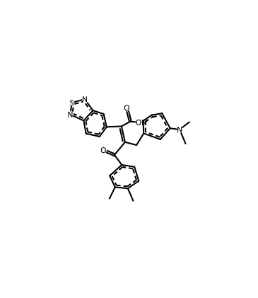 Cc1ccc(C(=O)/C(Cc2cccc(N(C)C)c2)=C(/C(=O)O)c2ccc3nsnc3c2)cc1C